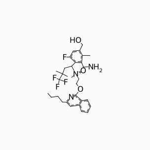 CCCCc1cc2ccccc2c(OCC[N+](C)(C)C(CC(C)(C)C(F)(F)F)c2c(F)cc(CO)c(C)c2C(N)=O)n1